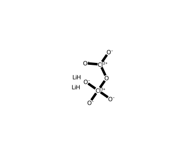 [LiH].[LiH].[O-][Cl+2]([O-])O[Cl+3]([O-])([O-])[O-]